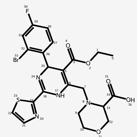 CCOC(=O)C1=C(CN2CCOCC2C(=O)O)NC(c2nccs2)=NC1c1ccc(F)cc1Br